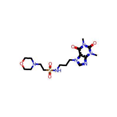 Cn1c(=O)c2c(ncn2CCCNS(=O)(=O)CCN2CCOCC2)n(C)c1=O